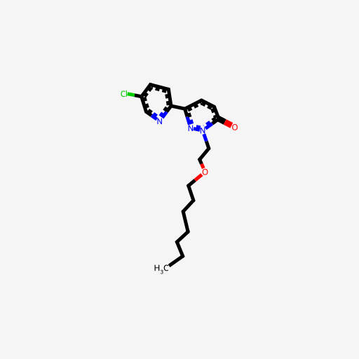 CCCCCCCOCCn1nc(-c2ccc(Cl)cn2)ccc1=O